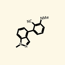 CNc1cccc(-c2cccc3c2cnn3C)c1C#N